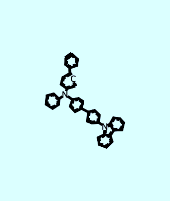 c1ccc(-c2ccc(N(c3ccccc3)c3ccc(-c4ccc(-n5c6ccccc6c6ccccc65)cc4)cc3)cc2)cc#1